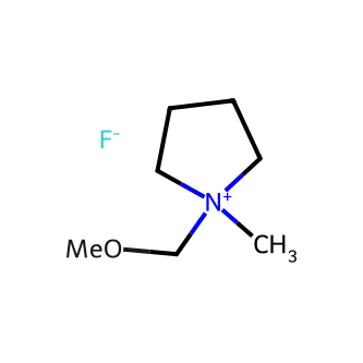 COC[N+]1(C)CCCC1.[F-]